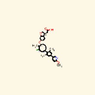 C=C1/C(F)=C\C=C(\c2c(C)cc(-c3ccc(OC)nc3)cc2C)CCC[C@H]1Oc1ccc2c(c1)OC[C@H]2CC(=O)O